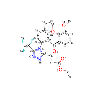 CCOC(=O)C[C@H]1O[C@H](c2cccc(OC)c2OC)c2cc(CC)ccc2-n2c1nnc2C(F)(F)F